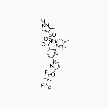 Cc1n[nH]cc1S(=O)(=O)NC(=O)c1ccc(-n2ccc(OC(F)C(C)(C)C(F)F)n2)nc1N1CCC(C)C1(C)C